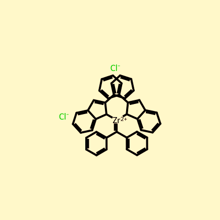 C1=C(c2ccccc2)[CH]([Zr+2](=[C](c2ccccc2)c2ccccc2)[CH]2C(c3ccccc3)=Cc3ccccc32)c2ccccc21.[Cl-].[Cl-]